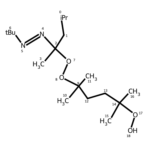 CC(C)CC(C)(N=NC(C)(C)C)OOC(C)(C)CCC(C)(C)OO